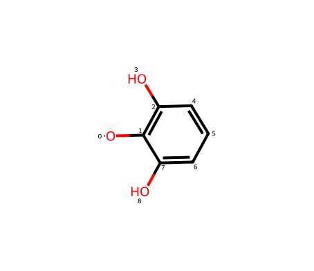 [O]c1c(O)cccc1O